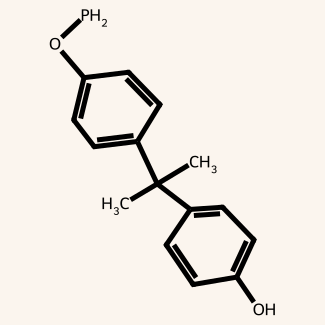 CC(C)(c1ccc(O)cc1)c1ccc(OP)cc1